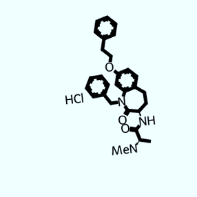 CN[C@@H](C)C(=O)N[C@H]1CCc2ccc(OCCc3ccccc3)cc2N(Cc2ccccc2)C1=O.Cl